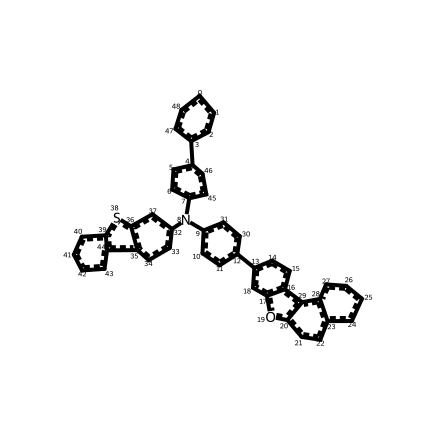 c1ccc(-c2ccc(N(c3ccc(-c4ccc5c(c4)oc4ccc6ccccc6c45)cc3)c3ccc4c(c3)sc3ccccc34)cc2)cc1